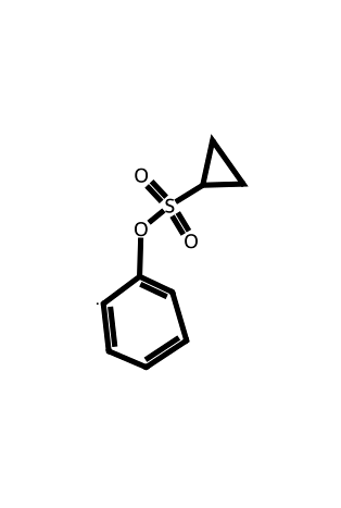 O=S(=O)(Oc1[c]cccc1)C1CC1